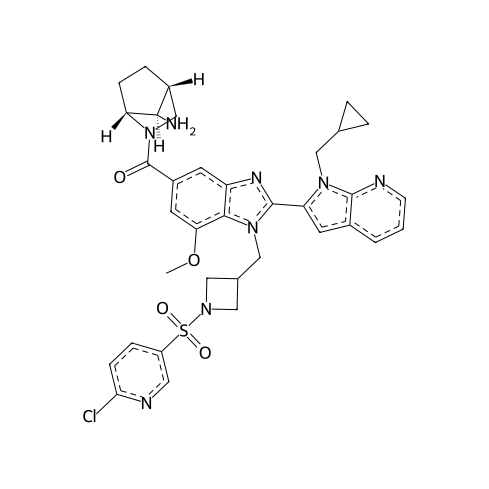 COc1cc(C(=O)N2C[C@H]3CC[C@@H]2[C@@H]3N)cc2nc(-c3cc4cccnc4n3CC3CC3)n(CC3CN(S(=O)(=O)c4ccc(Cl)nc4)C3)c12